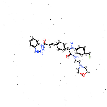 Nc1ccccc1NC(=O)/C=C/c1ccc(C(Nc2ccc(CF)cc2)C(=O)NCCN2CCOCC2)cc1